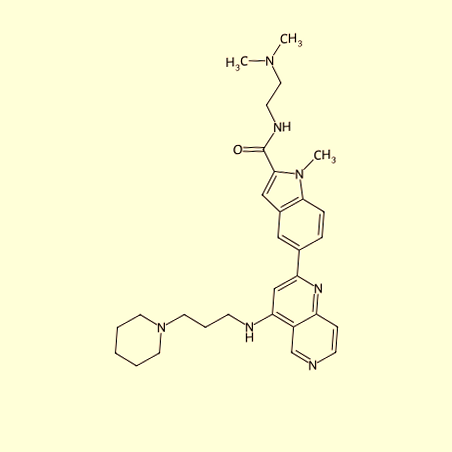 CN(C)CCNC(=O)c1cc2cc(-c3cc(NCCCN4CCCCC4)c4cnccc4n3)ccc2n1C